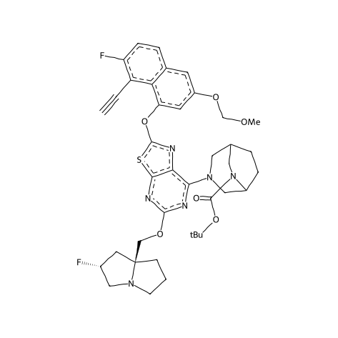 C#Cc1c(F)ccc2cc(OCOC)cc(Oc3nc4c(N5CC6CCC(C5)N(C(=O)OC(C)(C)C)C6)nc(OC[C@@]56CCCN5C[C@H](F)C6)nc4s3)c12